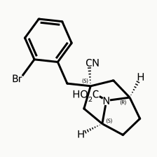 N#C[C@]1(Cc2ccccc2Br)C[C@H]2CC[C@@H](C1)N2C(=O)O